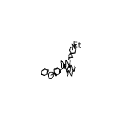 CCN1CCC2(CC1)CC(n1nc(-c3ccc(Oc4ccccc4)cc3)c3cncnc31)C2